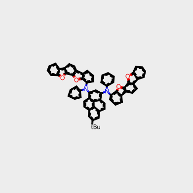 CC(C)(C)c1cc2ccc3c(N(c4ccccc4)c4cccc5c4oc4c5ccc5c6ccccc6oc54)cc(N(c4ccccc4)c4cccc5c4oc4c5ccc5c6ccccc6oc54)c4ccc(c1)c2c34